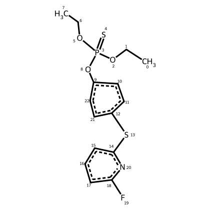 CCOP(=S)(OCC)Oc1ccc(Sc2cccc(F)n2)cc1